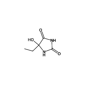 CCC1(O)NC(=O)NC1=O